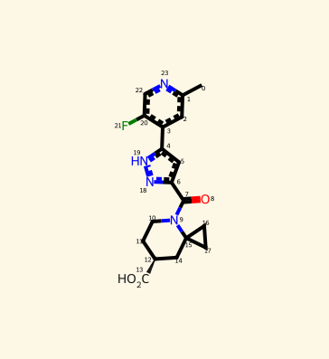 Cc1cc(-c2cc(C(=O)N3CC[C@H](C(=O)O)CC34CC4)n[nH]2)c(F)cn1